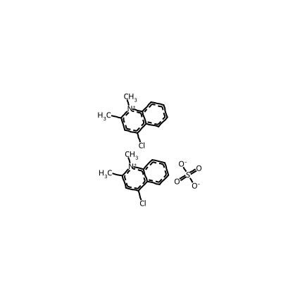 Cc1cc(Cl)c2ccccc2[n+]1C.Cc1cc(Cl)c2ccccc2[n+]1C.O=S(=O)([O-])[O-]